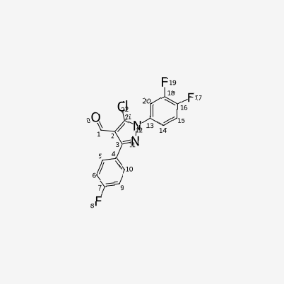 O=Cc1c(-c2ccc(F)cc2)nn(-c2ccc(F)c(F)c2)c1Cl